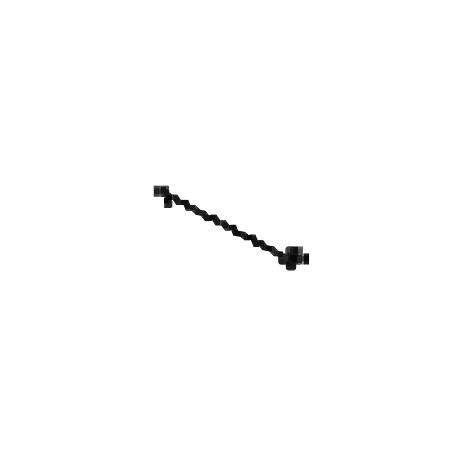 O=P(O)(O)OCCCCCCCCCCCCCCCCCCCCCCCC(=S)S